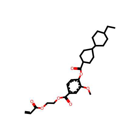 C=CC(=O)OCCOC(=O)c1ccc(OC(=O)C2CCC(C3CCC(CC)CC3)CC2)c(OC)c1